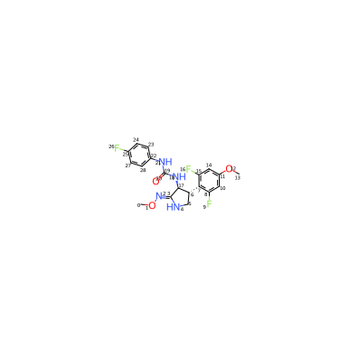 CON=C1NC[C@@H](c2c(F)cc(OC)cc2F)[C@@H]1NC(=O)Nc1ccc(F)cc1